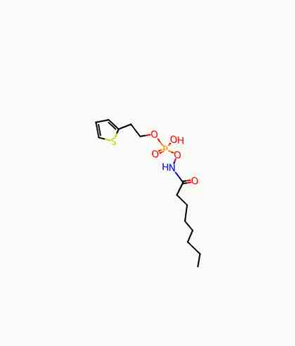 CCCCCCCC(=O)NOP(=O)(O)OCCc1cccs1